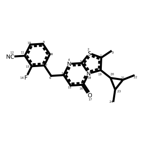 Cc1sc2nc(Cc3cccc(C#N)c3F)cc(=O)n2c1C1C(C)C1C